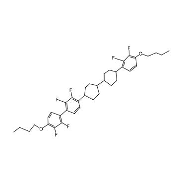 CCCCOc1ccc(-c2ccc(C3CCC(C4CCC(c5ccc(OCCCC)c(F)c5F)CC4)CC3)c(F)c2F)c(F)c1F